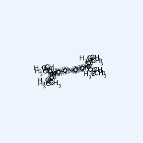 CC(C)(C)c1ccc2c(c1)c1cc(C(C)(C)C)ccc1n2-c1ccc(-c2ccc(/C=C/c3ccc(-c4ccc(-n5c6ccc(C(C)(C)C)cc6c6cc(C(C)(C)C)ccc65)cc4)cc3)cc2)cc1